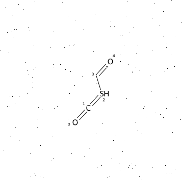 O=C=[SH]C=O